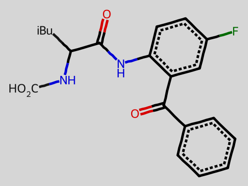 CCC(C)C(NC(=O)O)C(=O)Nc1ccc(F)cc1C(=O)c1ccccc1